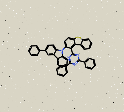 c1ccc(-c2ccc3c(c2)c2ccccc2n3-c2ccc3sc4ccccc4c3c2-c2nc(-c3ccccc3)nc(-c3ccccc3)n2)cc1